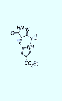 CCOC(=O)c1c[nH]c(/C=C2/C(=O)NN=C2C2(C)CC2)c1